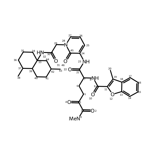 CNC(=O)C(=O)CCC(NC(=O)c1oc2ccccc2c1C)C(=O)Nc1cccn(CC(=O)NC23CCCC(C)C2CCC(C)C3)c1=O